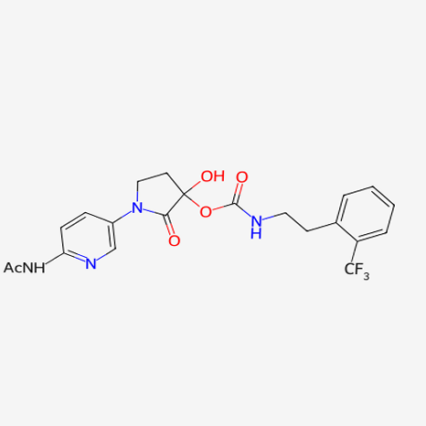 CC(=O)Nc1ccc(N2CCC(O)(OC(=O)NCCc3ccccc3C(F)(F)F)C2=O)cn1